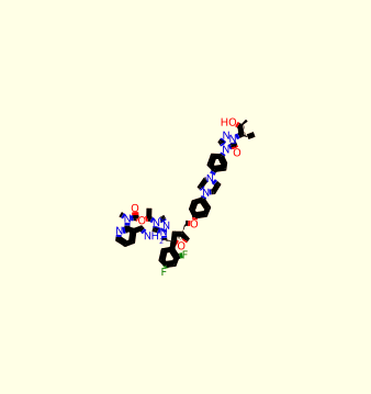 CC[C@@H]([C@H](C)O)n1ncn(-c2ccc(N3CCN(c4ccc(OC[C@@H]5CO[C@@](Cn6c[n+](C(C)OC(=O)N(C)c7ncccc7CN)cn6)(c6ccc(F)cc6F)C5)cc4)CC3)cc2)c1=O